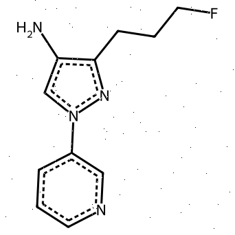 Nc1cn(-c2cccnc2)nc1CCCF